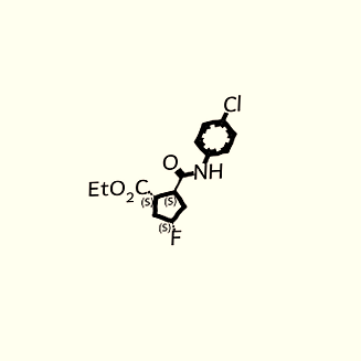 CCOC(=O)[C@H]1C[C@@H](F)C[C@@H]1C(=O)Nc1ccc(Cl)cc1